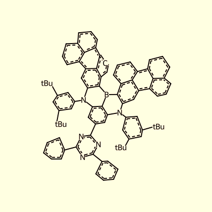 CC(C)(C)c1cc(N2c3cc(-c4nc(-c5ccccc5)nc(-c5ccccc5)n4)cc4c3B(c3c2cc2c5cccc6cccc(c7cccc3c72)c65)c2c(cc3c5cccc6cccc(c7cccc2c73)c65)N4c2cc(C(C)(C)C)cc(C(C)(C)C)c2)cc(C(C)(C)C)c1